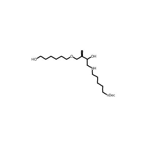 C=C(COCCCCCCO)C(O)CNCCCCCCCCCCCCCCC